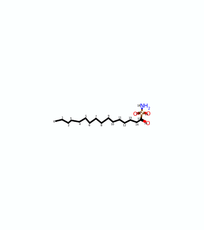 CCCCCCCCCCCCCCCC(=O)S(N)(=O)=O